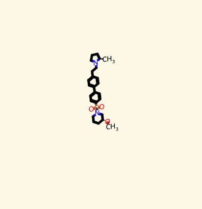 CO[C@@H]1CCCN(S(=O)(=O)c2ccc(-c3ccc(CCN4CCC[C@H]4C)cc3)cc2)C1